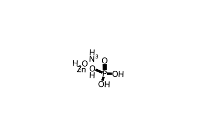 N.O.O=P(O)(O)O.[Zn]